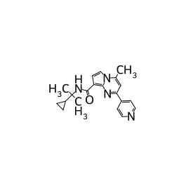 Cc1cc(-c2ccncc2)nc2c(C(=O)NC(C)(C)C3CC3)ccn12